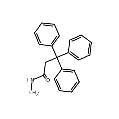 [CH2]NC(=O)CC(c1ccccc1)(c1ccccc1)c1ccccc1